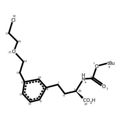 CC(C)(C)OC(=O)N[C@H](CCc1cccc(CCOCCCl)c1)C(=O)O